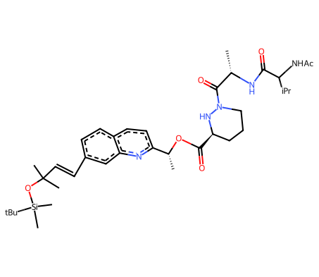 CC(=O)NC(C(=O)N[C@@H](C)C(=O)N1CCC[C@@H](C(=O)O[C@H](C)c2ccc3ccc(/C=C/C(C)(C)O[Si](C)(C)C(C)(C)C)cc3n2)N1)C(C)C